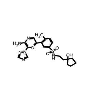 Cc1ccc(S(=O)(=O)NCCC2(O)CCCC2)cc1-c1cnc(N)c(-n2cncn2)n1